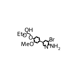 CCOC(O)COc1ccc(-c2cnc(N)c(Br)c2)cc1OC